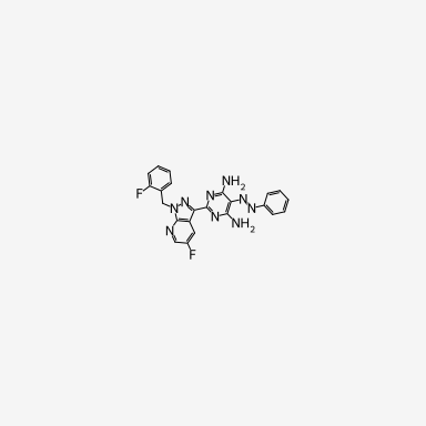 Nc1nc(-c2nn(Cc3ccccc3F)c3ncc(F)cc23)nc(N)c1N=Nc1ccccc1